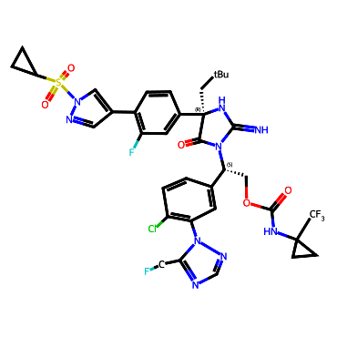 CC(C)(C)C[C@]1(c2ccc(-c3cnn(S(=O)(=O)C4CC4)c3)c(F)c2)NC(=N)N([C@H](COC(=O)NC2(C(F)(F)F)CC2)c2ccc(Cl)c(-n3ncnc3CF)c2)C1=O